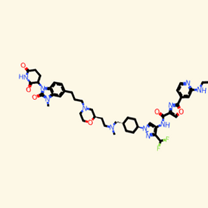 CN(CC[C@@H]1CN(CCCc2ccc3c(c2)n(C)c(=O)n3C2CCC(=O)NC2=O)CCO1)C[C@H]1CC[C@H](n2cc(NC(=O)c3coc(-c4ccnc(NCC5CC5)c4)n3)c(C(F)F)n2)CC1